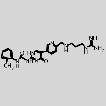 Cc1ccccc1NC(=O)Nc1nc(=O)c(-c2ccc(CNCCCNC(=N)N)nc2)c[nH]1